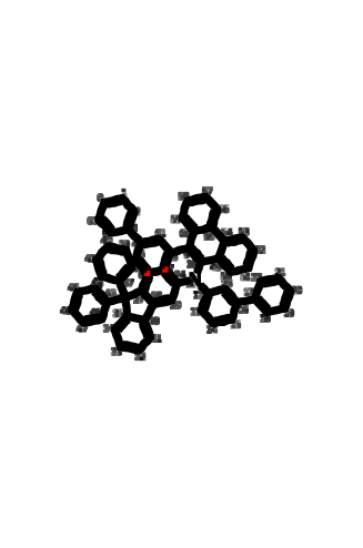 c1ccc(-c2cccc(-c3c(N(c4cccc(-c5ccccc5)c4)c4ccc5c(c4)-c4ccccc4C5(c4ccccc4)c4ccccc4)c4ccccc4c4ccccc34)c2)cc1